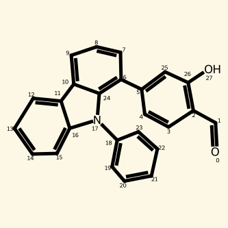 O=Cc1ccc(-c2cccc3c4ccccc4n(-c4ccccc4)c23)cc1O